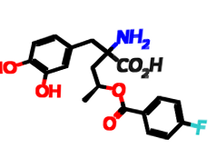 C[C@@H](CC(N)(Cc1ccc(O)c(O)c1)C(=O)O)OC(=O)c1ccc(F)cc1